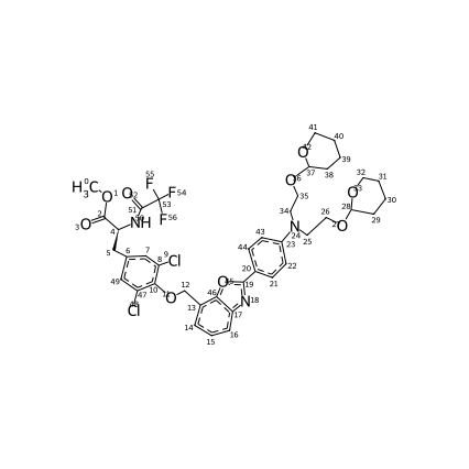 COC(=O)[C@H](Cc1cc(Cl)c(OCc2cccc3nc(-c4ccc(N(CCOC5CCCCO5)CCOC5CCCCO5)cc4)oc23)c(Cl)c1)NC(=O)C(F)(F)F